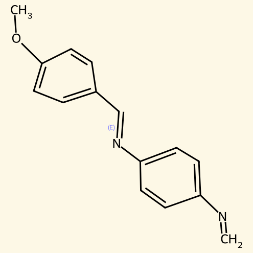 C=Nc1ccc(/N=C/c2ccc(OC)cc2)cc1